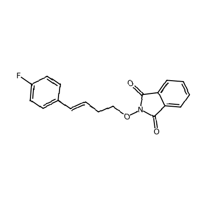 O=C1c2ccccc2C(=O)N1OCCC=Cc1ccc(F)cc1